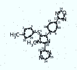 Cc1ccc(Sc2c(-c3ccc(-c4ncon4)cc3)nc(-c3cnccn3)n2C)cc1